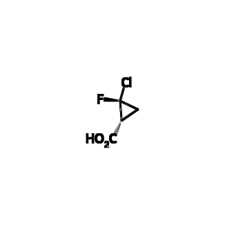 O=C(O)[C@H]1C[C@@]1(F)Cl